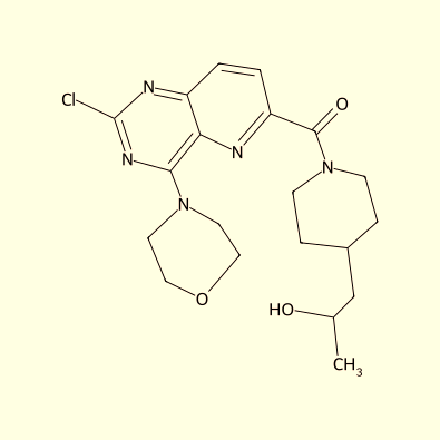 CC(O)CC1CCN(C(=O)c2ccc3nc(Cl)nc(N4CCOCC4)c3n2)CC1